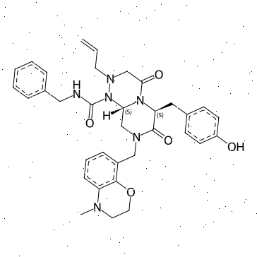 C=CCN1CC(=O)N2[C@@H](Cc3ccc(O)cc3)C(=O)N(Cc3cccc4c3OCCN4C)C[C@@H]2N1C(=O)NCc1ccccc1